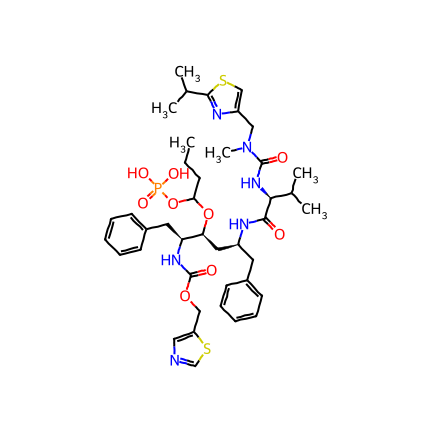 CCCC(O[C@@H](C[C@H](Cc1ccccc1)NC(=O)[C@@H](NC(=O)N(C)Cc1csc(C(C)C)n1)C(C)C)[C@H](Cc1ccccc1)NC(=O)OCc1cncs1)OP(=O)(O)O